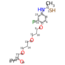 CC(S)Nc1ccc(OCCCOCCCOCC(=O)C(C)C)c(F)c1